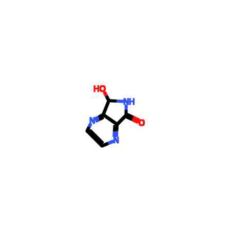 O=C1NC(O)c2nccnc21